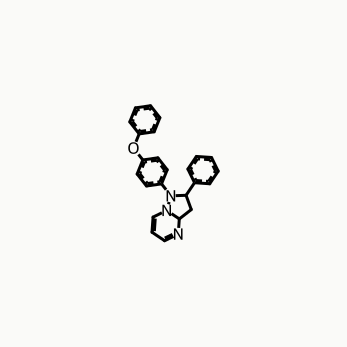 C1=CN2C(CC(c3ccccc3)N2c2ccc(Oc3ccccc3)cc2)N=C1